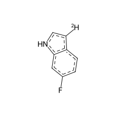 [2H]c1c[nH]c2cc(F)ccc12